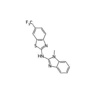 Cn1c(Nc2nc3ccc(C(F)(F)F)cc3s2)nc2ccccc21